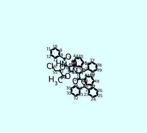 C[C@H](O[C@@H]1[C@@H](NC(=O)c2ccccc2)C(=O)N1C(C(=O)OC(c1ccccc1)c1ccccc1)=P(c1ccccc1)(c1ccccc1)c1ccccc1)C(=O)CCl